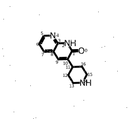 O=c1[nH]c2ncccc2cc1C1CCNCC1